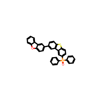 O=P(c1ccccc1)(c1ccccc1)c1ccc2sc3ccc(-c4ccc5oc6ccccc6c5c4)cc3c2c1